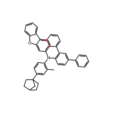 Cc1cc(C23CCC(CC2)C3)ccc1N(c1ccc2c(c1)oc1ccccc12)c1ccc(-c2ccccc2)cc1-c1ccccc1